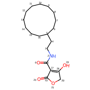 O=C(NCCC1CCCCCCCCCCC1)C1=C(O)COC1=O